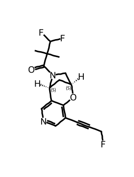 CC(C)(C(=O)N1C[C@@H]2C[C@H]1c1cncc(C#CCF)c1O2)C(F)F